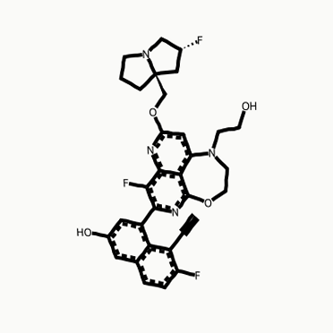 C#Cc1c(F)ccc2cc(O)cc(-c3nc4c5c(cc(OC[C@@]67CCCN6C[C@H](F)C7)nc5c3F)N(CCO)CCO4)c12